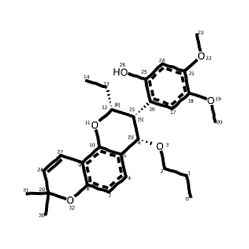 CCCO[C@@H]1c2ccc3c(c2O[C@H](CC)[C@@H]1c1cc(OC)c(OC)cc1O)C=CC(C)(C)O3